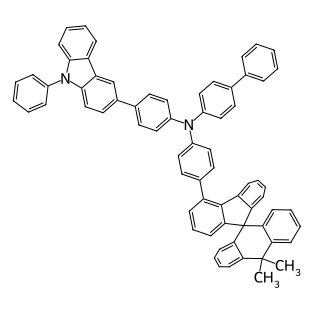 CC1(C)c2ccccc2C2(c3ccccc3-c3c(-c4ccc(N(c5ccc(-c6ccccc6)cc5)c5ccc(-c6ccc7c(c6)c6ccccc6n7-c6ccccc6)cc5)cc4)cccc32)c2ccccc21